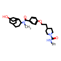 CC(C)NC(=O)N1CCC(CCOc2ccc(C(=O)N(C)C3CCC4CC5CC(O)(C4)CC53)cc2)CC1